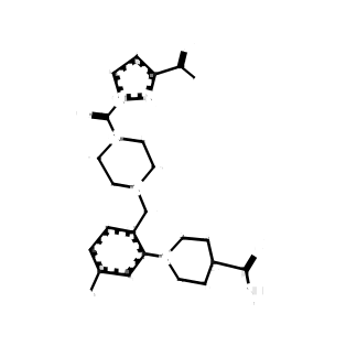 CC(=O)c1ccn(C(=O)N2CCN(Cc3ccc(C)cc3N3CCC(C(N)=O)CC3)CC2)n1